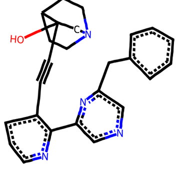 OC1(C#Cc2cccnc2-c2cncc(Cc3ccccc3)n2)CN2CCC1CC2